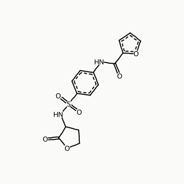 O=C(Nc1ccc(S(=O)(=O)NC2CCOC2=O)cc1)c1ccco1